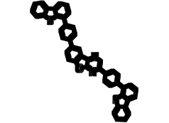 c1ccc2c(c1)sc1c(-c3ccc(-c4ccc5oc6nc(-c7ccc(-c8cccc9c8sc8ccccc89)cc7)cnc6c5c4)cc3)cccc12